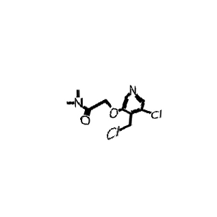 CN(C)C(=O)COc1cncc(Cl)c1CCl